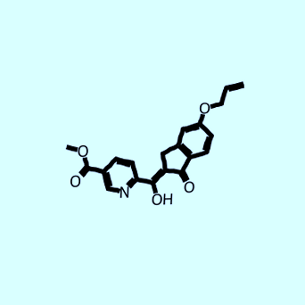 C=CCOc1ccc2c(c1)CC(=C(O)c1ccc(C(=O)OC)cn1)C2=O